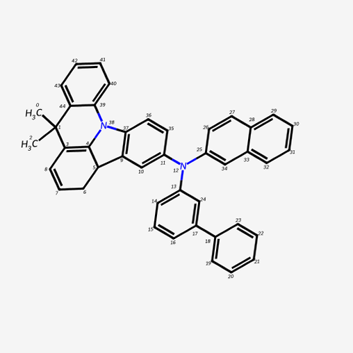 CC1(C)C2=C3C(CC=C2)c2cc(N(c4cccc(-c5ccccc5)c4)c4ccc5ccccc5c4)ccc2N3c2ccccc21